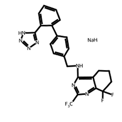 FC(F)(F)c1nc(NCc2ccc(-c3ccccc3-c3nnn[nH]3)cc2)c2c(n1)C(F)(F)CCC2.[NaH]